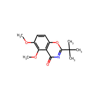 COc1ccc2oc(C(C)(C)C)nc(=O)c2c1OC